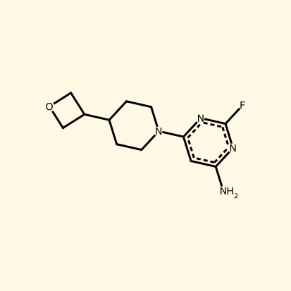 Nc1cc(N2CCC(C3COC3)CC2)nc(F)n1